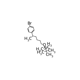 CC(CCCCO[Si](C)(C)C(C)(C)C)c1ccc(Br)cc1